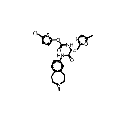 Cc1cnc(C[C@@H](NC(=O)Oc2ccc(Cl)s2)C(=O)Nc2ccc3c(c2)CCN(C)CC3)o1